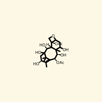 CC(=O)O[C@H]1C2=C(C)[C@@H](O)CC(O)([C@@H](O)[C@H]3C(C)(C(O)CC4OC[C@]43OC(C)=O)[C@H]1O)C2(C)C